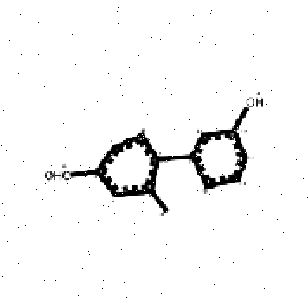 Cc1cc(C=O)ccc1-c1cccc(O)c1